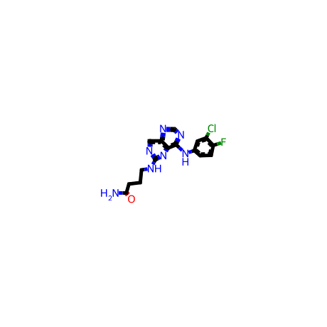 NC(=O)CCCNc1ncc2ncnc(Nc3ccc(F)c(Cl)c3)c2n1